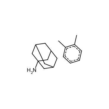 Cc1ccccc1C.NC12CC3CC(CC(C3)C1)C2